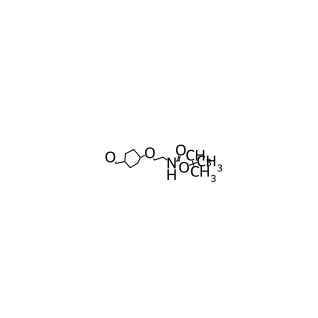 CC(C)(C)OC(=O)NCCOC1CCC(C=O)CC1